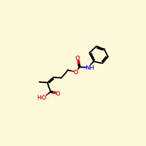 CC(=CCCOC(=O)Nc1ccccc1)C(=O)O